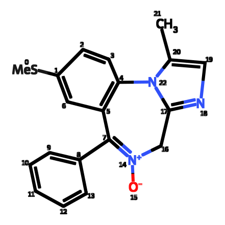 CSc1ccc2c(c1)C(c1ccccc1)=[N+]([O-])Cc1ncc(C)n1-2